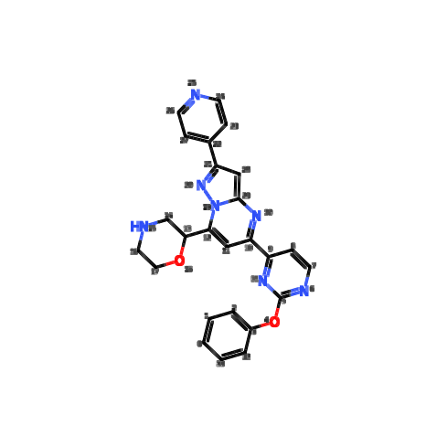 c1ccc(Oc2nccc(-c3cc(C4CNCCO4)n4nc(-c5ccncc5)cc4n3)n2)cc1